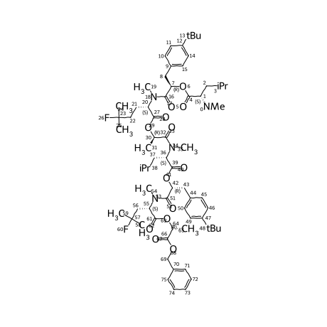 CN[C@@H](CC(C)C)C(=O)O[C@H](Cc1ccc(C(C)(C)C)cc1)C(=O)N(C)[C@@H](CCC(C)(C)F)C(=O)O[C@H](C)C(=O)N(C)[C@@H](CC(C)C)C(=O)O[C@H](Cc1ccc(C(C)(C)C)cc1)C(=O)N(C)[C@@H](CC(C)(C)F)C(=O)O[C@H](C)C(=O)OCc1ccccc1